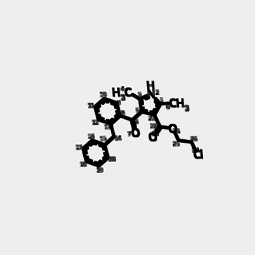 Cc1[nH]c(C)c(C(=O)c2ccccc2Cc2ccccc2)c1C(=O)OCCCl